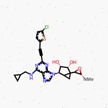 CN[C@H]1OC1C12CC1[C@@H](n1cnc3c(NCC4CC4)nc(C#Cc4ccc(Cl)s4)nc31)[C@H](O)[C@@H]2O